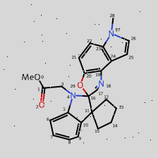 COC(=O)CN1c2ccccc2C2(CCCC2)C12C=Nc1c(ccc3c1ccn3C)O2